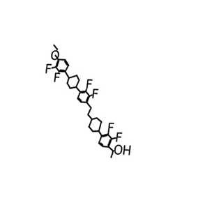 CCOc1ccc(C2CCC(c3ccc(CCC4CCC(c5ccc(C(C)O)c(F)c5F)CC4)c(F)c3F)CC2)c(F)c1F